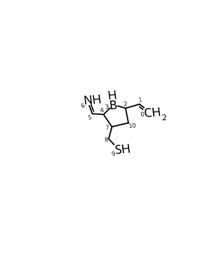 C=CC1BC(C=N)C(CS)C1